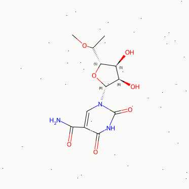 COC(C)[C@H]1O[C@@H](n2cc(C(N)=O)c(=O)[nH]c2=O)[C@H](O)[C@@H]1O